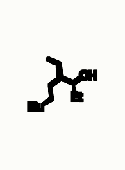 C/C=C(\CC[C@H](C)CC)[C@H](O)CC